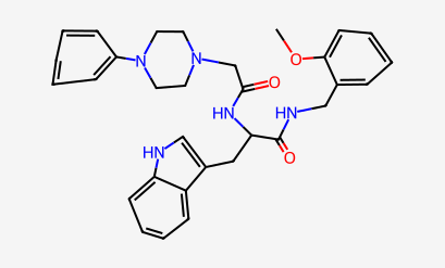 COc1ccccc1CNC(=O)C(Cc1c[nH]c2ccccc12)NC(=O)CN1CCN(c2ccccc2)CC1